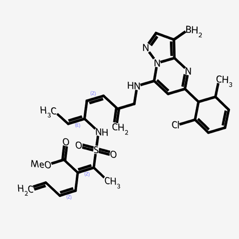 Bc1cnn2c(NCC(=C)/C=C\C(=C/C)NS(=O)(=O)/C(C)=C(/C=C\C=C)C(=O)OC)cc(C3C(Cl)=CC=CC3C)nc12